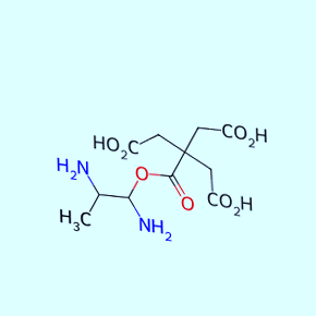 CC(N)C(N)OC(=O)C(CC(=O)O)(CC(=O)O)CC(=O)O